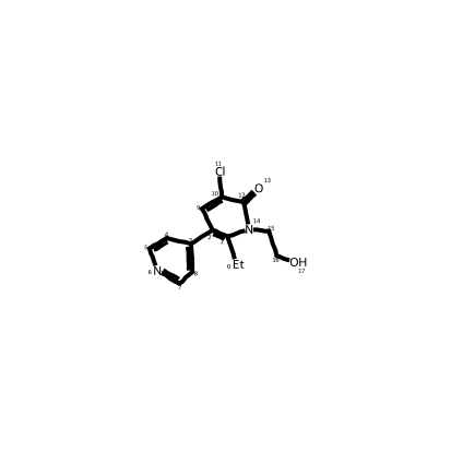 CCc1c(-c2ccncc2)cc(Cl)c(=O)n1CCO